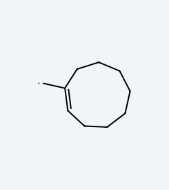 [CH2]C1=CCCCCCCC1